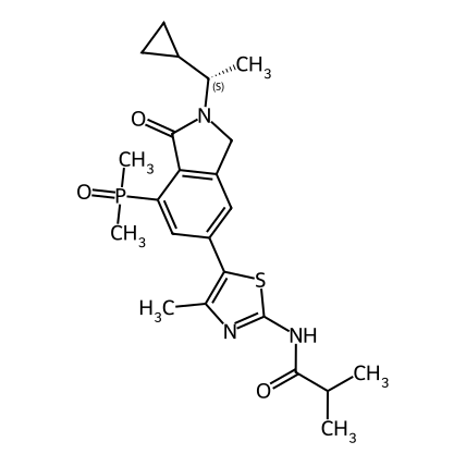 Cc1nc(NC(=O)C(C)C)sc1-c1cc2c(c(P(C)(C)=O)c1)C(=O)N([C@@H](C)C1CC1)C2